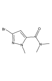 CN(C)C(=O)c1cc(Br)nn1C